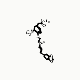 NC(=O)Cc1ccc(OCCNCCCc2ccc3c(c2)OCO3)c([N+](=O)[O-])c1